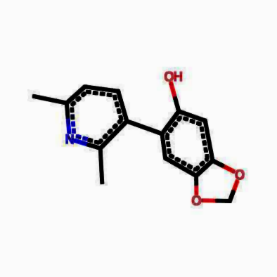 Cc1ccc(-c2cc3c(cc2O)OCO3)c(C)n1